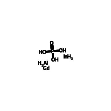 O=P(O)(O)O.[AlH3].[Gd].[InH3]